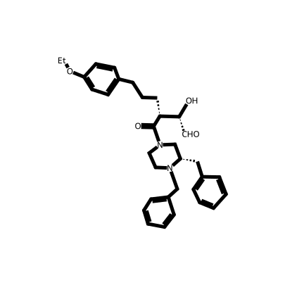 CCOc1ccc(CCC[C@@H](C(=O)N2CCN(Cc3ccccc3)[C@@H](Cc3ccccc3)C2)[C@H](O)C=O)cc1